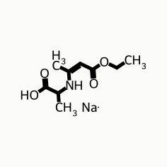 CCOC(=O)C=C(C)NC(C)C(=O)O.[Na]